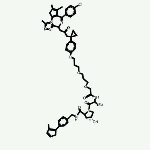 CC1=C(c2ccc(CNC(=O)C3C[C@@H](O)CN3C(=O)C(NC(=O)COCCCOCCCOc3ccc(C4(CC(=O)CC5N=C(c6ccc(Cl)cc6)C6=C(CC(C)=C6C)n6c(C)nnc65)CC4)cc3)C(C)(C)C)cc2)CC=C1